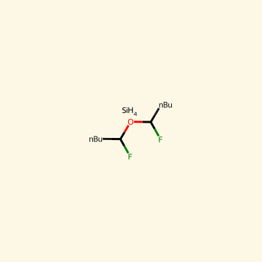 CCCCC(F)OC(F)CCCC.[SiH4]